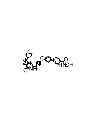 CC(c1nc2c(cnn2C2CCOCC2)c(=O)[nH]1)N1CC(Oc2ccc(N3CCC(C(=O)NO)CC3)cc2)C1